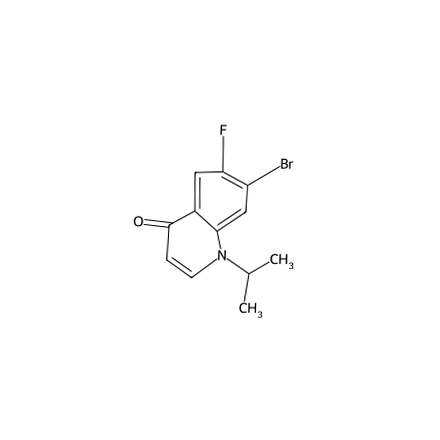 CC(C)n1ccc(=O)c2cc(F)c(Br)cc21